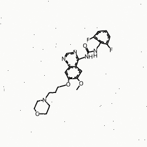 COc1cc2c(NC(=O)Nc3c(F)cccc3F)ncnc2cc1OCCCN1CCOCC1